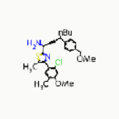 CCCC[C@H](C#CC(N)c1nc(-c2cc(C)c(OC)cc2Cl)c(C)s1)c1ccc(COC)cc1